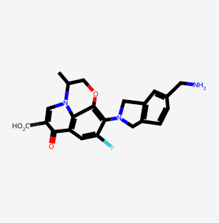 CC1COc2c(N3Cc4ccc(CN)cc4C3)c(F)cc3c(=O)c(C(=O)O)cn1c23